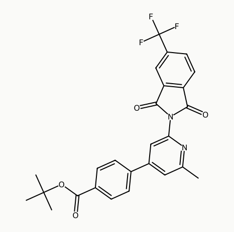 Cc1cc(-c2ccc(C(=O)OC(C)(C)C)cc2)cc(N2C(=O)c3ccc(C(F)(F)F)cc3C2=O)n1